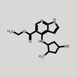 CCOC(=O)c1cnc2[nH]ccc2c1NC1CC(O)CC1C